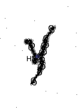 C=CC(=O)OCCCCCCOc1ccc(OC(=O)[C@H]2CC[C@H](OC(=O)c3ccc(OC(=O)[C@H]4CC[C@H](OC(=O)c5ccc(OCCCCCCOC(=O)C=C)cc5)CC4)cc3/C=N/N(CCCCCCOC(=O)Cc3cccc4ccccc34)C3Nc4ccccc4S3)CC2)cc1